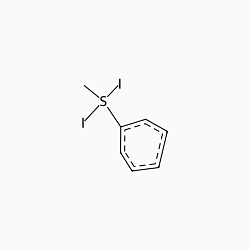 CS(I)(I)c1ccccc1